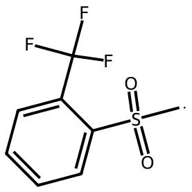 [CH2]S(=O)(=O)c1ccccc1C(F)(F)F